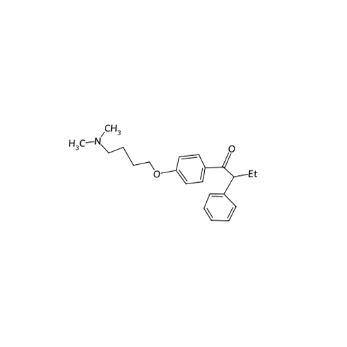 CCC(C(=O)c1ccc(OCCCCN(C)C)cc1)c1ccccc1